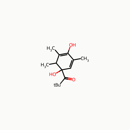 CC1=CC(O)(C(=O)C(C)(C)C)C(C)C(C)=C1O